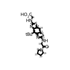 CC(C)(C)c1c2nc(NCC(=O)O)sc2cc2sc(NCC(=O)N3CCCC3)nc12